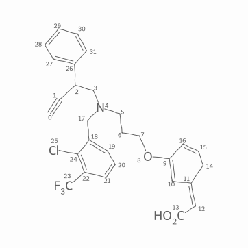 C#CC(CN(CCCOC1=CC(=CC(=O)O)CC=C1)Cc1cccc(C(F)(F)F)c1Cl)c1ccccc1